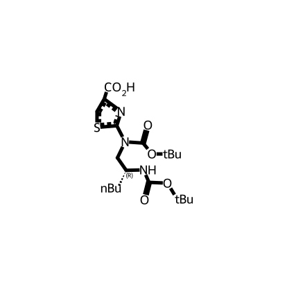 CCCC[C@H](CN(C(=O)OC(C)(C)C)c1nc(C(=O)O)cs1)NC(=O)OC(C)(C)C